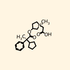 C[C@@](C(=O)OC1CC[N+](C)(CC(=O)O)C1)(c1ccccc1)C1CCCC1